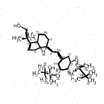 C[C@@H](CO)C1=CC[C@H]2/C(=C/C=C3C[C@@H](O[Si](C)(C)C(C)(C)C)C[C@H](O[Si](C)(C)C(C)(C)C)C3)CCC[C@]12C